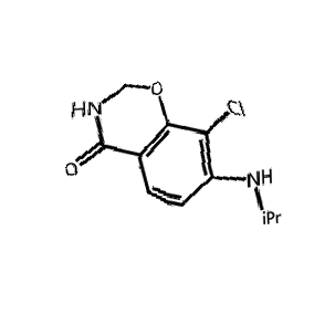 CC(C)Nc1ccc2c(c1Cl)OCNC2=O